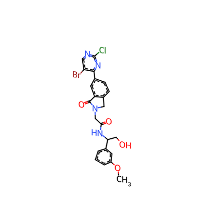 COc1cccc(C(CO)NC(=O)CN2Cc3ccc(-c4nc(Cl)ncc4Br)cc3C2=O)c1